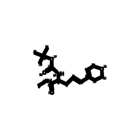 CNC(=O)C(CC=CC1=CCOCC1)NC(=O)OC(C)(C)C